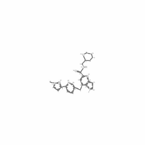 Cn1ccc(-c2ccc(Cc3cc(C(=O)NCC4CCCCO4)nc4ccsc34)cn2)n1